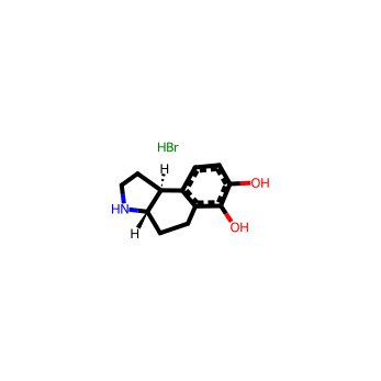 Br.Oc1ccc2c(c1O)CC[C@@H]1NCC[C@@H]21